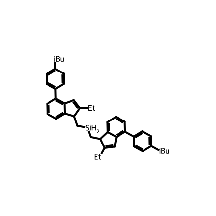 CCC1=Cc2c(-c3ccc(C(C)CC)cc3)cccc2C1C[SiH2]CC1C(CC)=Cc2c(-c3ccc(C(C)CC)cc3)cccc21